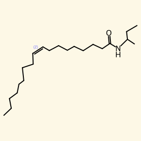 CCCCCCCC/C=C\CCCCCCCC(=O)NC(C)CC